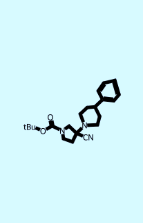 CC(C)(C)OC(=O)N1CCC(C#N)(N2CCC(c3ccccc3)CC2)C1